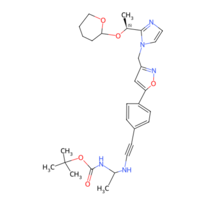 CC(NC#Cc1ccc(-c2cc(Cn3ccnc3[C@H](C)OC3CCCCO3)no2)cc1)NC(=O)OC(C)(C)C